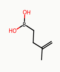 C=C(C)CCB(O)O